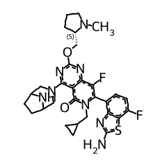 CN1CCC[C@H]1COc1nc(N2CC3CCC(C2)N3)c2c(=O)n(CC3CC3)c(-c3ccc(F)c4sc(N)nc34)c(F)c2n1